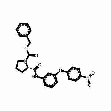 O=C(Nc1cccc(Oc2ccc([N+](=O)[O-])cc2)c1)[C@@H]1CCCN1C(=O)OCc1ccccc1